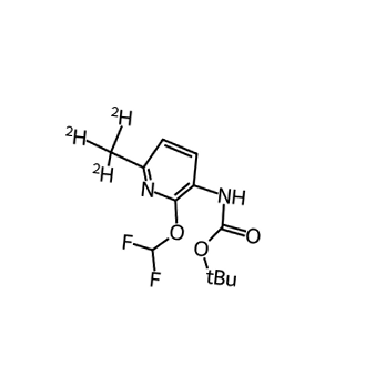 [2H]C([2H])([2H])c1ccc(NC(=O)OC(C)(C)C)c(OC(F)F)n1